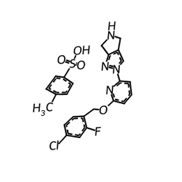 Cc1ccc(S(=O)(=O)O)cc1.Fc1cc(Cl)ccc1COc1cccc(-n2cc3c(n2)CNC3)n1